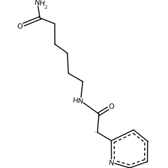 NC(=O)CCCCCNC(=O)[CH]c1ccccn1